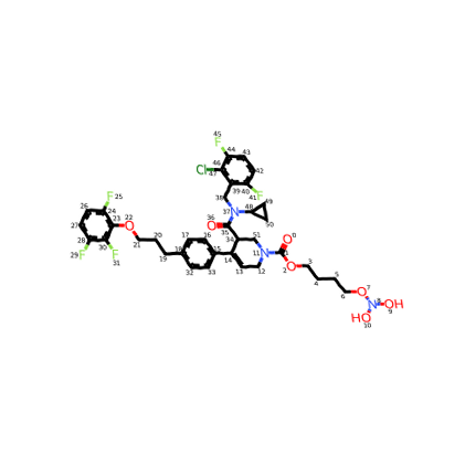 O=C(OCCCCON(O)O)N1CC=C(c2ccc(CCCOc3c(F)ccc(F)c3F)cc2)C(C(=O)N(Cc2c(F)ccc(F)c2Cl)C2CC2)C1